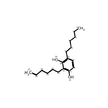 CCCCCCc1ccc(O)c(CCCCCC)c1O